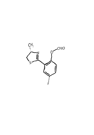 C[C@H]1CSC(c2cc(F)ccc2OC=O)=N1